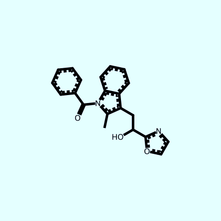 Cc1c(CC(O)c2ncco2)c2ccccc2n1C(=O)c1ccccc1